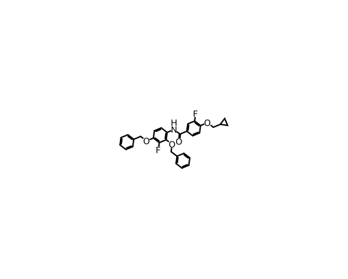 O=C(Nc1ccc(OCc2ccccc2)c(F)c1OCc1ccccc1)c1ccc(OCC2CC2)c(F)c1